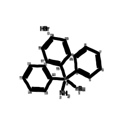 Br.CCCCP(N)(c1ccccc1)(c1ccccc1)c1ccccc1